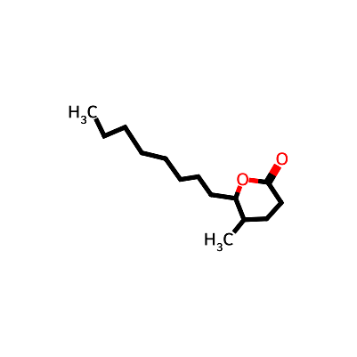 CCCCCCCCC1OC(=O)CCC1C